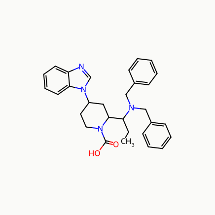 CCC(C1CC(n2cnc3ccccc32)CCN1C(=O)O)N(Cc1ccccc1)Cc1ccccc1